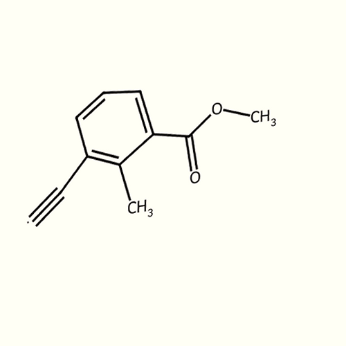 [C]#Cc1cccc(C(=O)OC)c1C